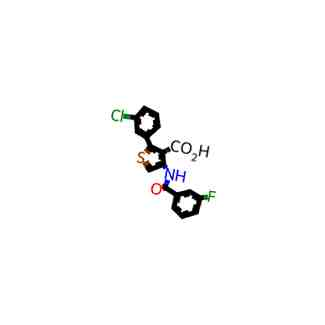 O=C(Nc1csc(-c2cccc(Cl)c2)c1C(=O)O)c1cccc(F)c1